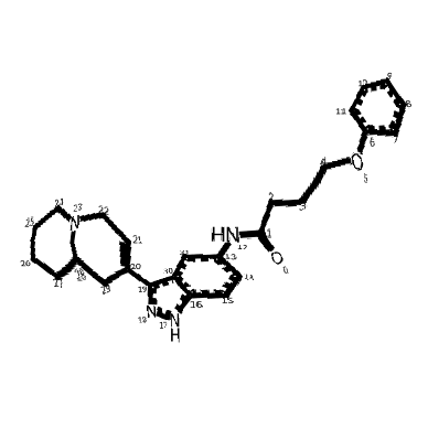 O=C(CCCOc1ccccc1)Nc1ccc2[nH]nc(C3=CCN4CCCCC4C3)c2c1